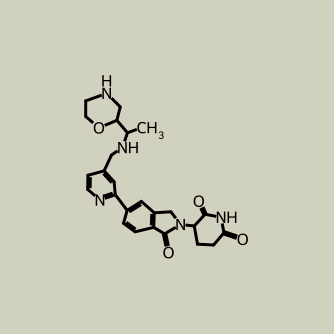 CC(NCc1ccnc(-c2ccc3c(c2)CN(C2CCC(=O)NC2=O)C3=O)c1)C1CNCCO1